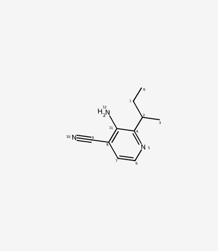 CCC(C)c1nccc(C#N)c1N